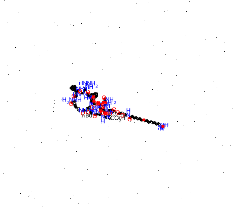 CCCC[C@H](NC(=O)[C@H](CCNC(=O)CN(CC(=O)O)CC(=O)O)NC(=O)[C@H](Cc1c[nH]cn1)NC(=O)[C@H](CCC(N)=O)NC(=O)[C@H](CO)NC(=O)CNC(=O)COCCOCCNC(=O)CCCCCCCCCCCCCCCc1nnn[nH]1)C(=O)N[C@H]1CCC(=O)NCCCC[C@@H](C(N)=O)NC(=O)[C@H](Cc2c[nH]c3ccccc23)NC(=O)[C@H](CCCNC(=N)N)NC(=O)[C@@H](Cc2ccccc2)NC(=O)[C@@H]2C[C@@H](O)CN2C1=O